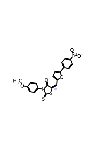 COc1ccc(N2C(=O)/C(=C\c3ccc(-c4ccc([N+](=O)[O-])cc4)o3)SC2=S)cc1